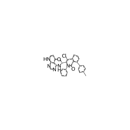 Cc1ccc(-c2cccc3c(Cl)c([C@H](C)Nc4ncnc5[nH]ccc(=O)c45)n(-c4ccccc4)c(=O)c23)cc1